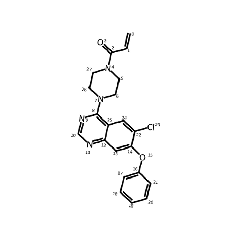 C=CC(=O)N1CCN(c2ncnc3cc(Oc4ccccc4)c(Cl)cc23)CC1